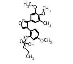 CCOP(=O)(O)Oc1cc(OC)ccc1-c1conc1-c1cc(C)c(OC)c(OC)c1